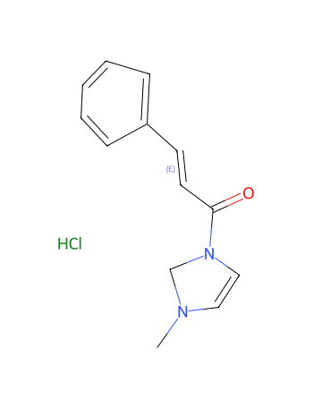 CN1C=CN(C(=O)/C=C/c2ccccc2)C1.Cl